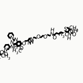 COc1cc2c(N[C@@H]3CCCN(C(=O)OC(C)(C)C)C3)nc(N3CCCCC3)nc2cc1OCc1cn(CCOCCOCCNC(=O)CCCC[C@@H]2SC[C@]3(C)NC(=O)N[C@]23C)nn1